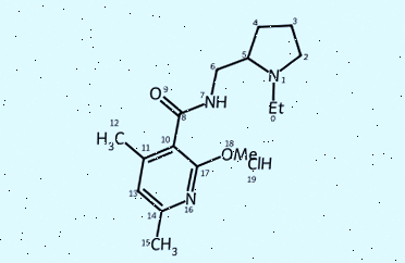 CCN1CCCC1CNC(=O)c1c(C)cc(C)nc1OC.Cl